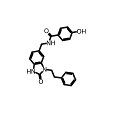 O=C(NCc1ccc2[nH]c(=O)n(CCc3ccccc3)c2c1)c1ccc(O)cc1